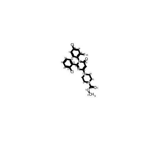 COC(=O)N1CCN(c2cc(=O)n(-c3ccc(Cl)cc3F)c(-c3ccccc3Cl)n2)CC1